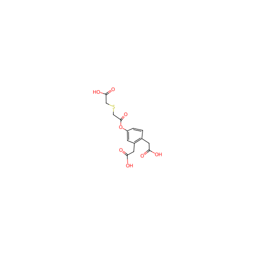 O=C(O)CSCC(=O)Oc1ccc(CC(=O)O)c(CC(=O)O)c1